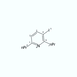 CCCc1ccc(I)c(CCC)n1